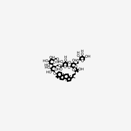 C[C@H](CC[C@@H](O[C@@H]1O[C@H](CO[C@@H]2OC[C@@H](O)[C@H](O)[C@H]2O)[C@@H](O)[C@H](O)[C@H]1O[C@@H]1C[C@H](O)[C@@H](O)[C@H](CO)O1)C(C)(C)O)C1CC[C@@]2(C)C3CC=C4C(CC[C@H](O[C@@H]5O[C@H](CO)C([C@@H]6O[C@H](CO)[C@@H](O)[C@H](O)[C@H]6O)[C@H](O)[C@H]5O)C4(C)C)[C@]3(C)CC[C@]12C